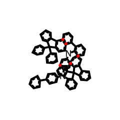 c1ccc(-c2ccc(N(c3ccc(N(c4ccc5c(c4)C(c4ccccc4)(c4ccccc4)c4ccccc4-5)c4ccccc4-c4ccccc4)cc3)c3ccccc3C3(c4ccccc4)c4ccccc4-c4ccccc43)cc2)cc1